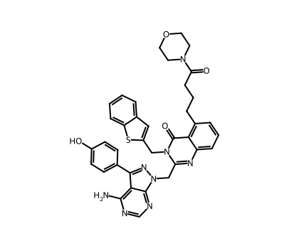 Nc1ncnc2c1c(-c1ccc(O)cc1)nn2Cc1nc2cccc(CCCC(=O)N3CCOCC3)c2c(=O)n1Cc1cc2ccccc2s1